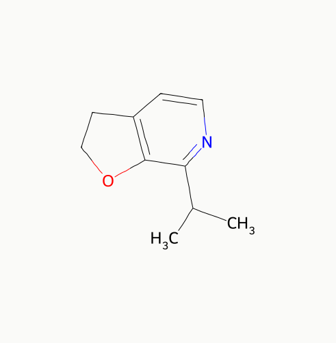 CC(C)c1nccc2c1OCC2